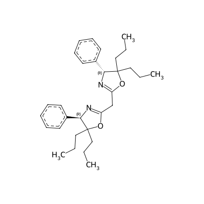 CCCC1(CCC)OC(CC2=N[C@H](c3ccccc3)C(CCC)(CCC)O2)=N[C@@H]1c1ccccc1